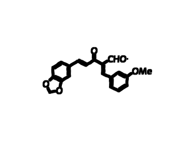 COc1cccc(C=C([C]=O)C(=O)C=Cc2ccc3c(c2)OCO3)c1